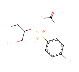 CC(C)=O.Cc1ccc(S(=O)(=O)OC(CO)CO)cc1